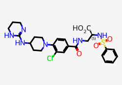 O=C(NC[C@H](NS(=O)(=O)c1ccccc1)C(=O)O)c1ccc(N2CCC(NC3=NCCCN3)CC2)c(Cl)c1